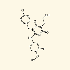 CC(C)OC1CC=C(Nc2nc(=O)n(CCO)c(=O)n2Cc2ccc(Cl)cc2)C=C1F